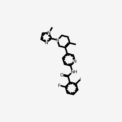 CC1=C(c2ccc(NC(=O)c3c(F)cccc3I)nc2)CN(c2nccn2C)CC1